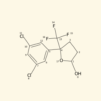 OC1CCC(c2cc(Cl)cc(Cl)c2)(C(F)(F)F)O1